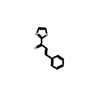 O=C(C=Cc1ccccc1)c1nccs1